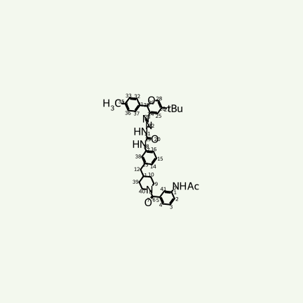 CC(=O)Nc1cccc(C(=O)N2CCC(Cc3cccc(NC(=O)NN=NC4=CC(C(C)(C)C)=COC4c4ccc(C)cc4)c3)CC2)c1